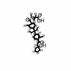 CCC(CC)(c1ccc(C(=O)CC2(O)CCCC2)c(C)c1)c1ccc(C(=O)N(C)C(C)(C)C(=O)O)c(C)c1